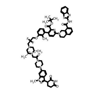 Cc1c(OCC(F)(F)CN2C[C@@H](C)N(CC(=O)N3CCN(c4ccc5c(C6CCC(=O)NC6=O)nn(C)c5c4)CC3)[C@@H](C)C2)cccc1-c1ccc(N2CCc3cccc(C(=O)Nc4nc5ccccc5s4)c3C2)nc1C(=O)OC(C)(C)C